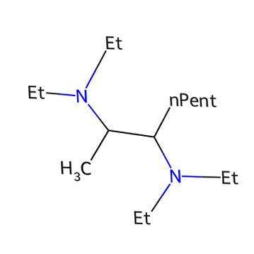 CCCCCC(C(C)N(CC)CC)N(CC)CC